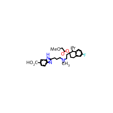 COCC(=O)OC1(CCN(C)CCCc2nc3ccc(C(=O)O)cc3[nH]2)CCc2cc(F)ccc2C1C(C)C